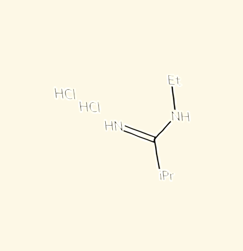 CCNC(=N)C(C)C.Cl.Cl